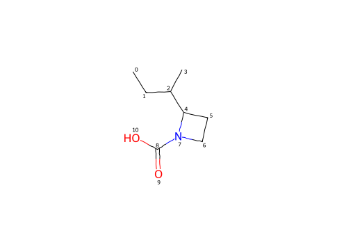 CCC(C)C1CCN1C(=O)O